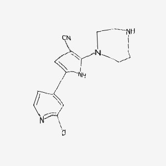 N#Cc1cc(-c2ccnc(Cl)c2)[nH]c1N1CCNCC1